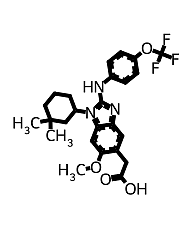 COc1cc2c(cc1CC(=O)O)nc(Nc1ccc(OC(F)(F)F)cc1)n2C1CCCC(C)(C)C1